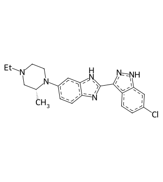 CCN1CCN(c2ccc3nc(-c4n[nH]c5cc(Cl)ccc45)[nH]c3c2)[C@H](C)C1